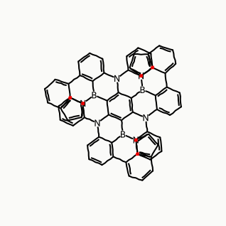 c1ccc(N2c3cccc4c3B(c3c2c2c(c5c3N(c3ccccc3)c3cccc6c3B5n3ccc5cccc-6c53)N(c3ccccc3)c3cccc5c3B2n2ccc3cccc-5c32)n2ccc3cccc-4c32)cc1